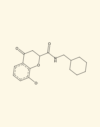 [O]c1cccc2c1OC(C(=O)NCC1CCCCC1)CC2=O